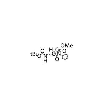 COC(=O)[C@H](C)N(C(=O)OCCNC(=O)OC(C)(C)C)c1ccccc1